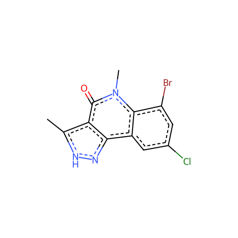 Cc1[nH]nc2c1c(=O)n(C)c1c(Br)cc(Cl)cc21